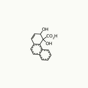 O=C(O)C1(O)c2c(ccc3ccccc23)C=CC1O